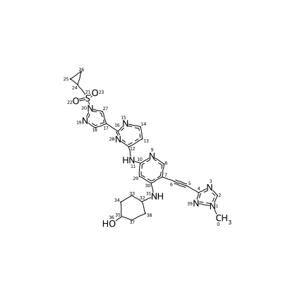 Cn1cnc(C#Cc2cnc(Nc3ccnc(-c4cnn(S(=O)(=O)C5CC5)c4)n3)cc2NC2CCC(O)CC2)n1